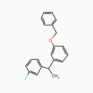 [CH2]C(c1cccc(F)c1)c1cccc(OCc2ccccc2)c1